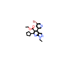 CCOC(=O)c1c(C2CCCC2)nc2c(cnn2CC)c1-c1cncc(Br)c1